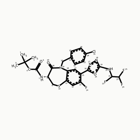 CC(C)(C)OC(=O)N[C@H]1CSc2cc(F)c(-c3nnc(NC(F)C(F)F)o3)cc2N(Cc2ccc(Cl)cc2)C1=O